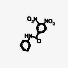 O=C(Nc1ccccc1)c1ccc([N+](=O)[O-])c([N+](=O)[O-])c1